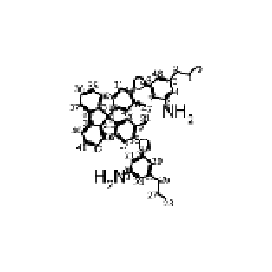 CCCc1cc(N)cc(Oc2ccc(C3(c4ccc(Oc5cc(N)cc(CCC)c5)c(C)c4)c4ccccc4-c4ccccc43)cc2C)c1